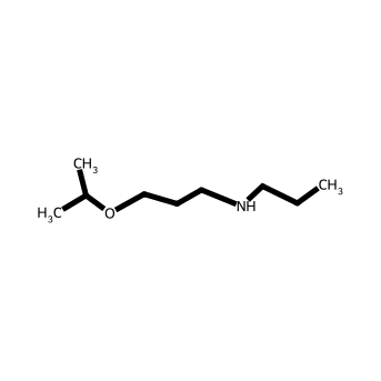 CCCNCCCOC(C)C